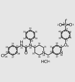 CS(=O)(=O)c1ccc(Oc2ccc(CN3CCC(N(C(=O)Nc4ccc(Cl)cc4)c4ccccc4)CC3)cn2)cc1.Cl